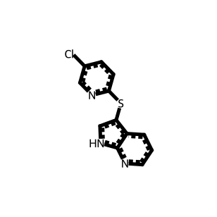 Clc1ccc(Sc2c[nH]c3ncccc23)nc1